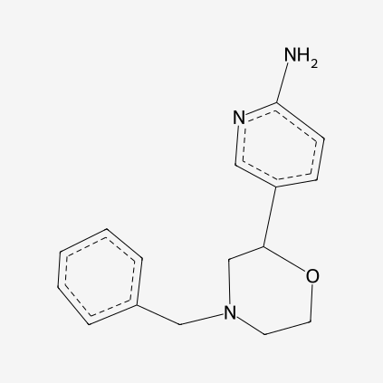 Nc1ccc(C2CN(Cc3ccccc3)CCO2)cn1